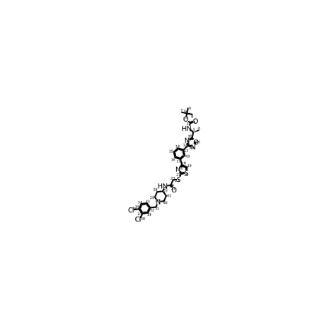 C[C@H](NC(=O)OC(C)(C)C)c1nc(-c2cccc(-c3csc(SCC(=O)NC4CCN(Cc5ccc(Cl)c(Cl)c5)CC4)n3)c2)no1